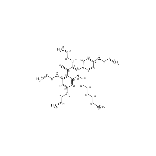 C=CCOc1ccc(-c2c(OCC=C)c(=O)c3c(OCC=C)cc(OCC=C)cc3n2CCCCCCCCCCCCCCCC)cc1